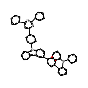 c1ccc(-c2nc(-c3ccccc3)nc(-c3ccc(-n4c5ccccc5c5cc(-c6ccc(-c7ccccc7N(c7ccccc7)c7ccccc7)cc6)ccc54)cc3)n2)cc1